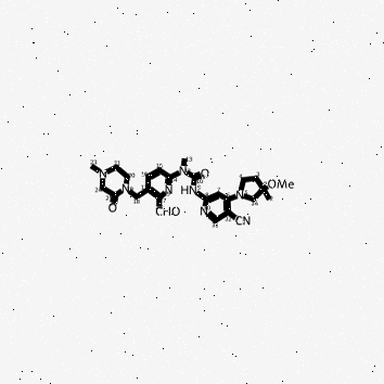 COC1(C)CCN(c2cc(NC(=O)N(C)c3ccc(CN4CCN(C)CC4=O)c(C=O)n3)ncc2C#N)C1